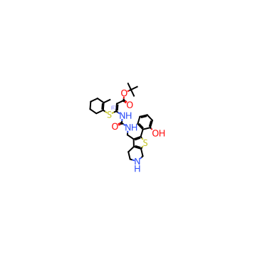 CC1=C(S/C(=C/C(=O)OC(C)(C)C)NC(=O)NCc2c(-c3ccccc3O)sc3c2CCNC3)CCCC1